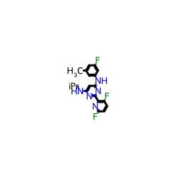 Cc1cc(F)cc(Nc2cc(NC(C)C)nc(-c3nc(F)ccc3F)n2)c1